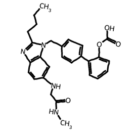 CCCCc1nc2ccc(NCC(=O)NC)cc2n1Cc1ccc(-c2ccccc2OC(=O)O)cc1